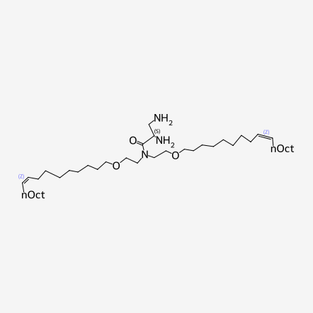 CCCCCCCC/C=C\CCCCCCCCOCCN(CCOCCCCCCCC/C=C\CCCCCCCC)C(=O)[C@@H](N)CN